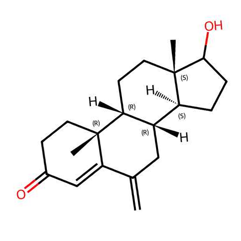 C=C1C[C@@H]2[C@@H](CC[C@]3(C)C(O)CC[C@@H]23)[C@@]2(C)CCC(=O)C=C12